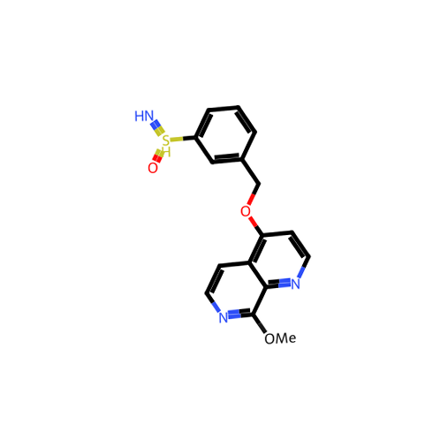 COc1nccc2c(OCc3cccc([SH](=N)=O)c3)ccnc12